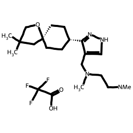 CNCCN(C)Cc1c[nH]nc1[C@H]1CC[C@]2(CC1)CC(C)(C)CO2.O=C(O)C(F)(F)F